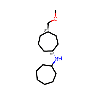 COC[C@@H]1CCC[C@@H](NC2CCCCCC2)CC1